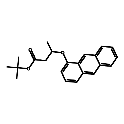 CC(CC(=O)OC(C)(C)C)Oc1cccc2cc3ccccc3cc12